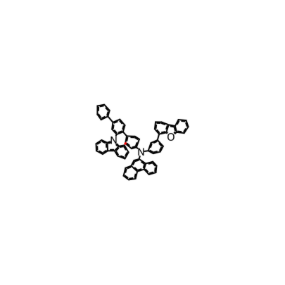 c1ccc(-c2ccc(-c3ccc(N(c4cccc(-c5cccc6c5oc5ccccc56)c4)c4cc5ccccc5c5ccccc45)cc3)c(-n3c4ccccc4c4ccccc43)c2)cc1